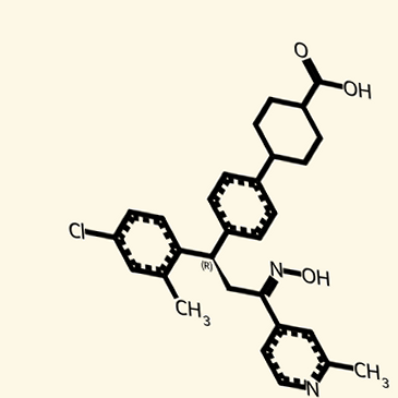 Cc1cc(C(C[C@H](c2ccc(C3CCC(C(=O)O)CC3)cc2)c2ccc(Cl)cc2C)=NO)ccn1